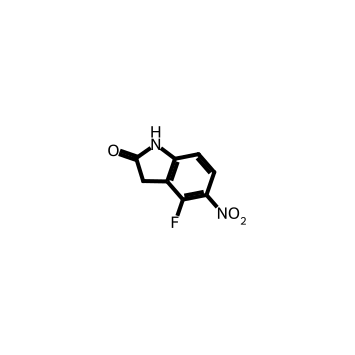 O=C1Cc2c(ccc([N+](=O)[O-])c2F)N1